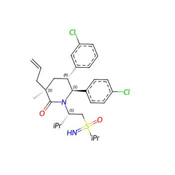 C=CC[C@@]1(C)C[C@H](c2cccc(Cl)c2)[C@@H](c2ccc(Cl)cc2)N([C@H](CS(=N)(=O)C(C)C)C(C)C)C1=O